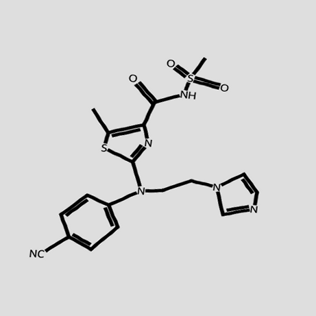 Cc1sc(N(CCn2ccnc2)c2ccc(C#N)cc2)nc1C(=O)NS(C)(=O)=O